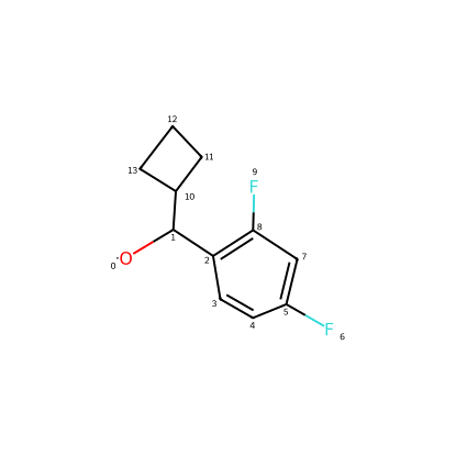 [O]C(c1ccc(F)cc1F)C1CCC1